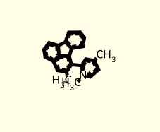 Cc1cc[n+](C)c(-c2c(C)cc3cccc4c3c2-c2ccccc2-4)c1